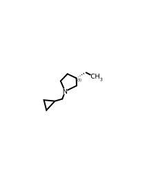 CC[C@H]1CCN(CC2CC2)C1